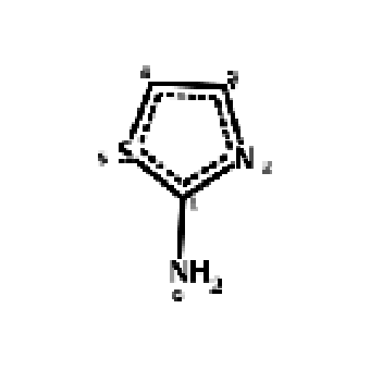 Nc1n[c]cs1